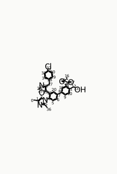 Cc1cn(-c2ccc(-c3ccc(CO)c(S(C)(=O)=O)c3)cc2-c2ocnc2Cc2ccc(Cl)cc2)c(C)n1